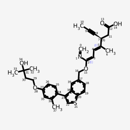 C=N/C(=C\C=C(/C)[C@@H](C#CC)CC(=O)O)OCc1ccc2scc(-c3ccc(OCCC(C)(C)O)cc3C)c2c1